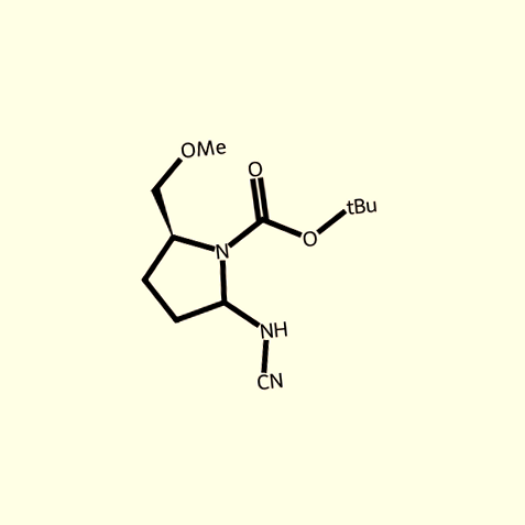 COC[C@@H]1CCC(NC#N)N1C(=O)OC(C)(C)C